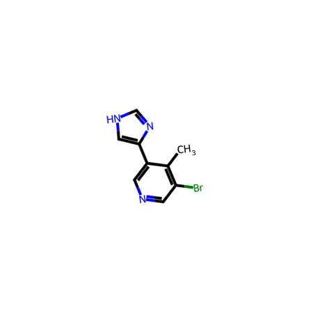 Cc1c(Br)cncc1-c1c[nH]cn1